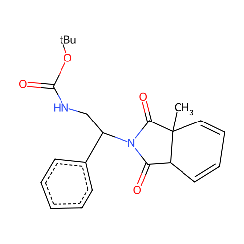 CC(C)(C)OC(=O)NCC(c1ccccc1)N1C(=O)C2C=CC=CC2(C)C1=O